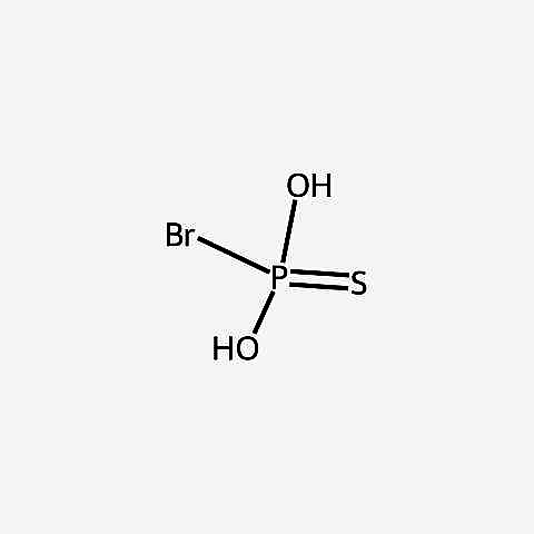 OP(O)(=S)Br